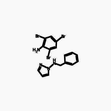 Nc1c(Br)cc(Br)cc1Br.c1ccc(CNn2cccn2)cc1